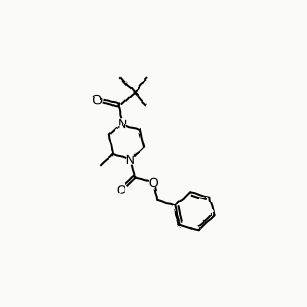 CC1CN(C(=O)C(C)(C)C)CCN1C(=O)OCc1ccccc1